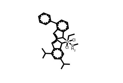 C[CH2][Zr]([Cl])([Cl])([SiH2]C)([CH]1C(C)=Cc2c(-c3ccccc3)cccc21)[CH]1C(C)=Cc2c(C(C)C)cc(C(C)C)cc21